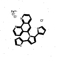 [Cl-].[Cl-].[Cl-].[Fe+3].c1csc(-c2ccc(-c3cccs3)n2-c2cc3cccnc3c3ncccc23)c1